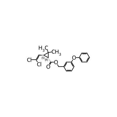 CC1(C)[C@H](C=C(Cl)Cl)[C@H]1C(=O)OCc1cccc(Oc2ccccc2)c1